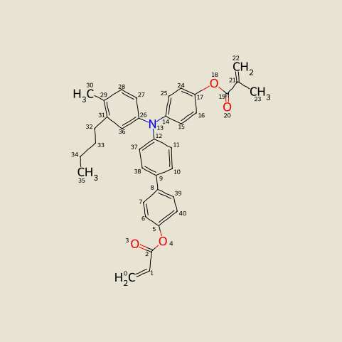 C=CC(=O)Oc1ccc(-c2ccc(N(c3ccc(OC(=O)C(=C)C)cc3)c3ccc(C)c(CCCC)c3)cc2)cc1